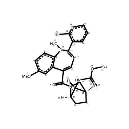 COc1ccc2c(c1)C(C(=O)N1C[C@H]3CC[C@@H]1[C@@H]3NC(=O)OC(C)(C)C)=CN=C(c1cccnc1Br)N2C